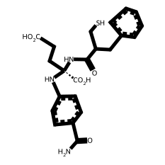 NC(=O)c1ccc(N[C@@](CCC(=O)O)(NC(=O)C(CS)Cc2ccccc2)C(=O)O)cc1